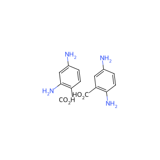 Nc1ccc(C(=O)O)c(N)c1.Nc1ccc(N)c(C(=O)O)c1